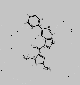 Cc1cc(C(=O)c2c[nH]c3ncc(-c4cccnc4)cc23)n(C)n1